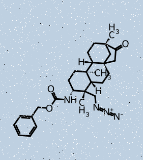 C[C@@]12CC[C@@H]3[C@@](CC[C@@H]4[C@](C)(CN=[N+]=[N-])[C@H](NC(=O)OCc5ccccc5)CC[C@]43C)(CC1=O)C2